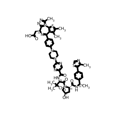 Cc1ncsc1-c1ccc([C@H](C)NC(=O)[C@@H]2C[C@@H](O)CN2C(=O)[C@@H](NC(=O)c2cnc(N3CCN(c4ccc(C5=N[C@@H](CC(=O)O)c6nnc(C)n6-c6sc(C)c(C)c65)cc4)CC3)cn2)C(C)(C)C)cc1